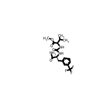 COC(=O)C(NC(=O)N[C@@H](Cc1cccc(C(F)(F)F)c1)C(N)=O)C(C)C